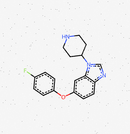 Fc1ccc(Oc2ccc3n[c]n(C4CCNCC4)c3c2)cc1